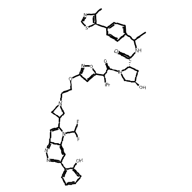 Cc1ncsc1-c1ccc(C(C)NC(=O)[C@@H]2C[C@@H](O)CN2C(=O)C(c2cc(OCCN3CC(c4cc5nnc(-c6ccccc6O)cc5n4C(F)F)C3)no2)C(C)C)cc1